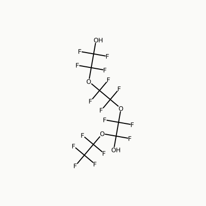 OC(F)(F)C(F)(F)OC(F)(F)C(F)(F)OC(F)(F)C(O)(F)OC(F)(F)C(F)(F)F